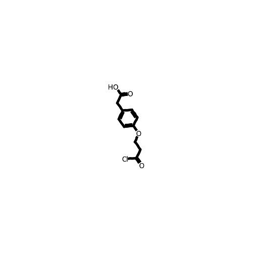 O=C(O)Cc1ccc(OCCC(=O)Cl)cc1